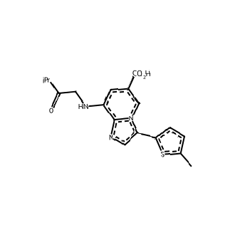 Cc1ccc(-c2cnc3c(NCC(=O)C(C)C)cc(C(=O)O)cn23)s1